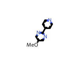 COc1cnc(-c2ccncc2)nc1